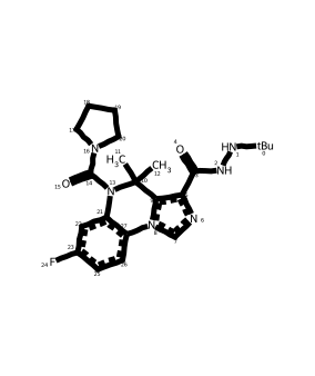 CC(C)(C)NNC(=O)c1ncn2c1C(C)(C)N(C(=O)N1CCCC1)c1cc(F)ccc1-2